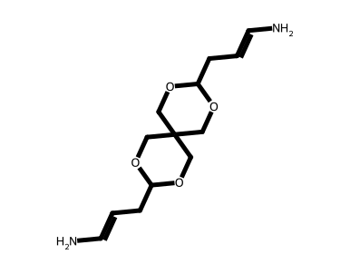 NC=CCC1OCC2(CO1)COC(CC=CN)OC2